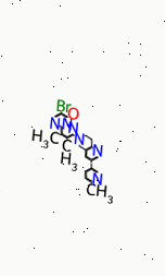 Cc1ccc(-c2cnc3c(c2)CN(c2nn4c(=O)c(Br)cnc4c(C)c2C)CC3)cn1